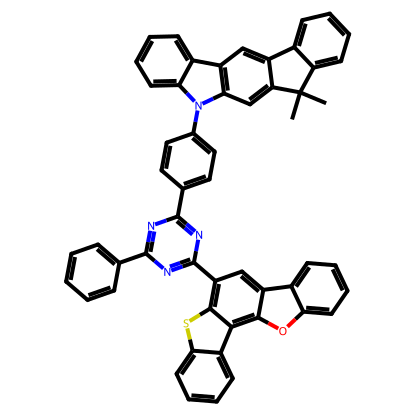 CC1(C)c2ccccc2-c2cc3c4ccccc4n(-c4ccc(-c5nc(-c6ccccc6)nc(-c6cc7c8ccccc8oc7c7c6sc6ccccc67)n5)cc4)c3cc21